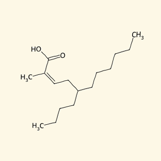 CCCCCCC(CC=C(C)C(=O)O)CCCC